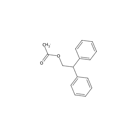 [CH2]C(=O)OCC(c1ccccc1)c1ccccc1